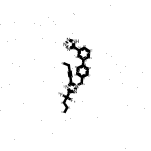 CCC#Cc1nc(C(F)(F)CCC)nn1Cc1ccc(-c2cccc(-c3nnn[nH]3)c2)cc1